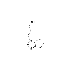 NCCCc1cnn2c1CCC2